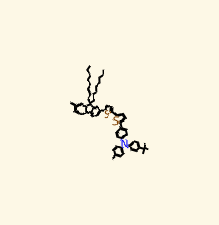 CCCCCCCCC1(CCCCCCCC)c2cc(C)ccc2-c2ccc(-c3ccc(-c4ccc(-c5ccc(N(c6ccc(C)cc6)c6ccc(C(C)(C)C)cc6)cc5)s4)s3)cc21